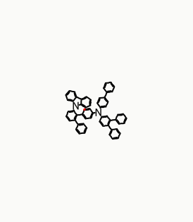 c1ccc(-c2ccc(N(c3ccc(-c4c(-c5ccccc5)cccc4-n4c5ccccc5c5ccccc54)cc3)c3ccc(-c4ccccc4)c(-c4ccccc4)c3)cc2)cc1